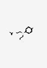 CCC(=O)OCCN(CCC#N)c1ccc(C=O)cc1